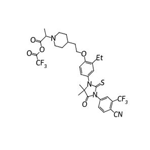 CCc1cc(N2C(=S)N(c3ccc(C#N)c(C(F)(F)F)c3)C(=O)C2(C)C)ccc1OCCC1CCN(C(C)C(=O)OC(=O)C(F)(F)F)CC1